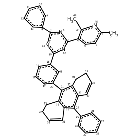 Cc1ccc(-c2nc(-c3ccccc3)nc(-c3cccc(-c4c5c(c(-c6ccccc6)c6c4CCC=C6)C=CCC5)c3)n2)c(C)n1